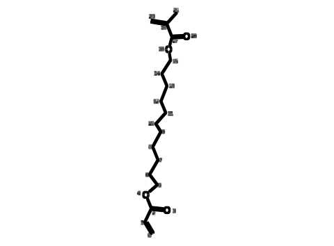 C=CC(=O)OCCCCCCCCCCCOC(=O)C(=C)C